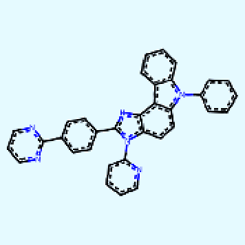 c1ccc(-n2c3ccccc3c3c4nc(-c5ccc(-c6ncccn6)cc5)n(-c5ccccn5)c4ccc32)cc1